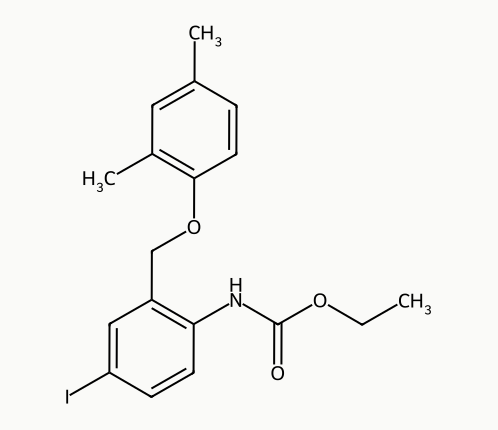 CCOC(=O)Nc1ccc(I)cc1COc1ccc(C)cc1C